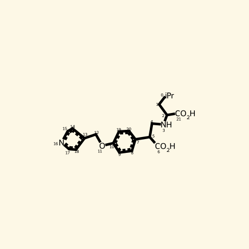 CC(C)CC(NCC(C(=O)O)c1ccc(OCc2ccncc2)cc1)C(=O)O